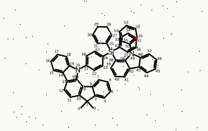 CC1(C)c2ccccc2-c2c1ccc1c3ccccc3n(-c3ccc([Si](C4=CCCC=C4)(c4ccccc4)c4cccc5c6ccccc6n(-c6ccccc6)c45)cc3)c21